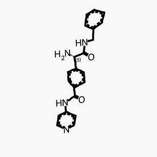 N[C@H](C(=O)NCc1ccccc1)c1ccc(C(=O)Nc2ccncc2)cc1